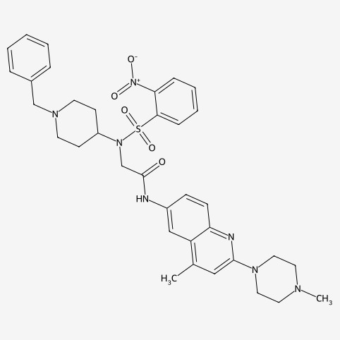 Cc1cc(N2CCN(C)CC2)nc2ccc(NC(=O)CN(C3CCN(Cc4ccccc4)CC3)S(=O)(=O)c3ccccc3[N+](=O)[O-])cc12